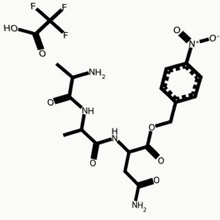 CC(N)C(=O)NC(C)C(=O)NC(CC(N)=O)C(=O)OCc1ccc([N+](=O)[O-])cc1.O=C(O)C(F)(F)F